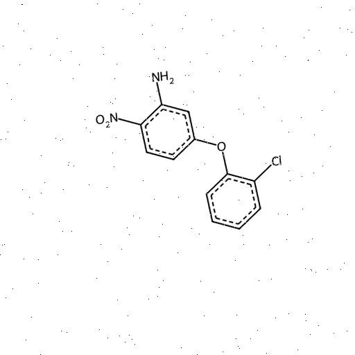 Nc1cc(Oc2ccccc2Cl)ccc1[N+](=O)[O-]